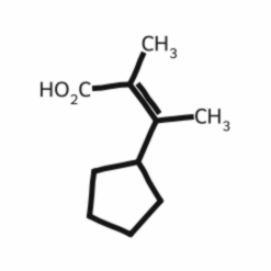 C/C(C(=O)O)=C(\C)C1CCCC1